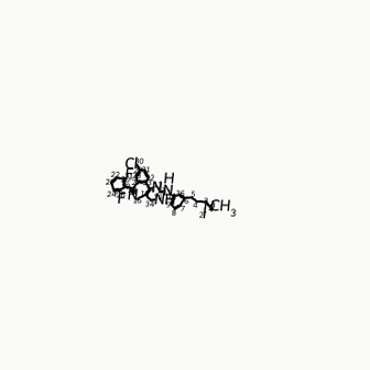 CN(I)CCCc1cccc(NC2=NC3=C(CN=C(c4c(F)cccc4F)c4cc(Cl)ccc43)CN2)c1